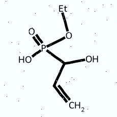 C=CC(O)P(=O)(O)OCC